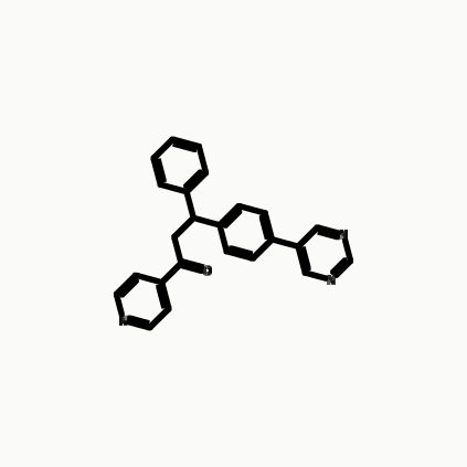 O=C(CC(c1ccccc1)c1ccc(-c2cncnc2)cc1)c1ccncc1